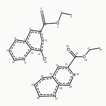 CCOC(=O)c1cc2cccnc2c(Cl)n1.CCOC(=O)c1cc2cccnc2cn1